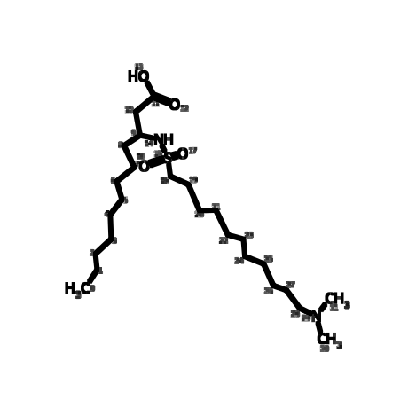 CCCCCCCCCC(CC(=O)O)NS(=O)(=O)CCCCCCCCCCCN(C)C